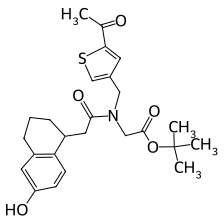 CC(=O)c1cc(CN(CC(=O)OC(C)(C)C)C(=O)CC2CCCc3cc(O)ccc32)cs1